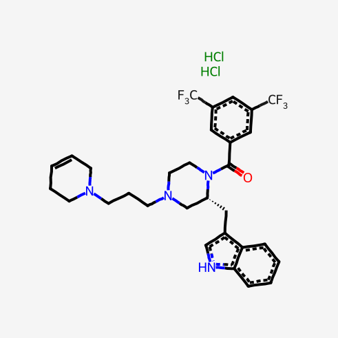 Cl.Cl.O=C(c1cc(C(F)(F)F)cc(C(F)(F)F)c1)N1CCN(CCCN2CC=CCC2)C[C@H]1Cc1c[nH]c2ccccc12